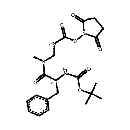 CN(CNC(=O)ON1C(=O)CCC1=O)C(=O)[C@H](Cc1ccccc1)NC(=O)OC(C)(C)C